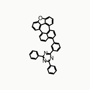 c1ccc(-c2nc(-c3ccccc3)nc(-c3cccc(-c4ccc5c6c(cccc46)-c4cccc6oc7cccc-5c7c46)c3)n2)cc1